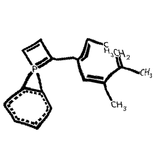 C=C(C)/C(C)=C\C(=C/C)C1=P2(C=C1)c1ccccc12